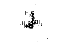 CCCCCCCC(CC)c1cccc(C#N)c1C